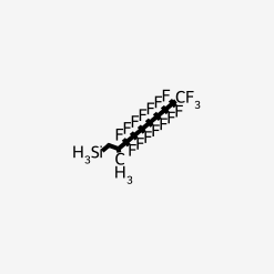 CC(C[SiH3])C(F)(F)C(F)(F)C(F)(F)C(F)(F)C(F)(F)C(F)(F)C(F)(F)C(F)(F)F